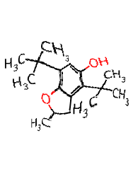 CC1Cc2c(c(C(C)(C)C)cc(O)c2C(C)(C)C)O1